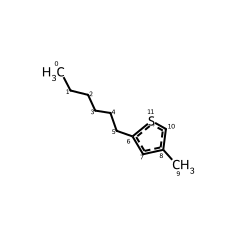 CCCCCCc1cc(C)cs1